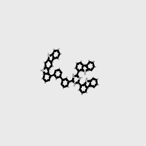 c1cc(-c2cccc(-c3cccc4oc5cc6oc7ccccc7c6cc5c34)c2)cc(-c2nc(-c3cccc4c3oc3ccccc34)nc(-c3cccc4c3oc3ccccc34)n2)c1